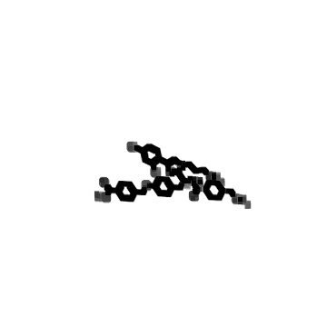 CCCCn1cc(-c2ccc(Cl)cc2Cl)nc1[C@H](Cc1ccc(OCc2ccc(C(=O)O)cc2)cc1)NC(=O)[C@H]1CC[C@H](CC)CC1